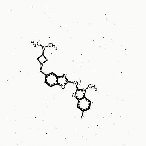 CN(C)C1CN(Cc2ccc3oc(Nc4nc5cc(F)ccc5n4C)nc3c2)C1